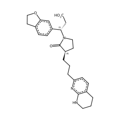 O=C(O)C[C@@H](c1ccc2c(c1)OCC2)N1CC[C@@H](CCCc2ccc3c(n2)NCCC3)C1=O